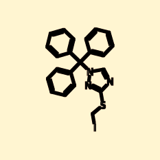 ICSc1ncn(C(c2ccccc2)(c2ccccc2)c2ccccc2)n1